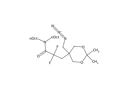 CCCCCCCCN(CCCCCCCC)C(=O)C(F)(F)CC1(CN=[N+]=[N-])COC(C)(C)OC1